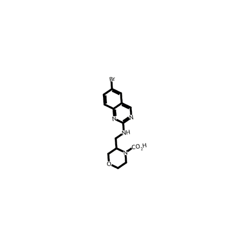 O=C(O)N1CCOCC1CNc1ncc2cc(Br)ccc2n1